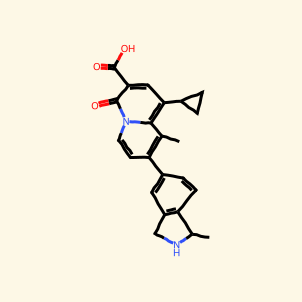 Cc1c(-c2ccc3c(c2)CNC3C)ccn2c(=O)c(C(=O)O)cc(C3CC3)c12